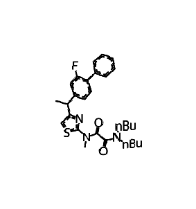 CCCCN(CCCC)C(=O)C(=O)N(C)c1nc(C(C)c2ccc(-c3ccccc3)c(F)c2)cs1